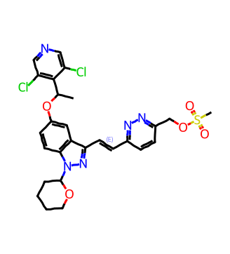 CC(Oc1ccc2c(c1)c(/C=C/c1ccc(COS(C)(=O)=O)nn1)nn2C1CCCCO1)c1c(Cl)cncc1Cl